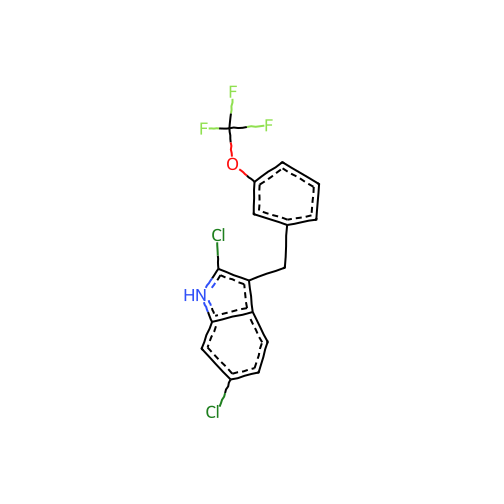 FC(F)(F)Oc1cccc(Cc2c(Cl)[nH]c3cc(Cl)ccc23)c1